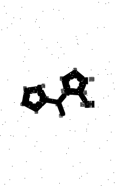 CC(c1cccs1)n1ccnc1S